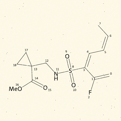 C=C(F)/C(=C\C=C/C)S(=O)(=O)NCC1(C(=O)OC)CC1